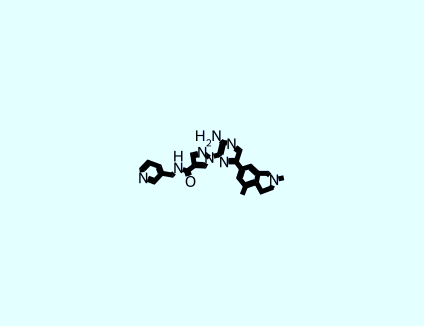 Cc1cc(-c2cnc(N)c(-n3cc(C(=O)NCc4cccnc4)cn3)n2)cc2c1CCN(C)C2